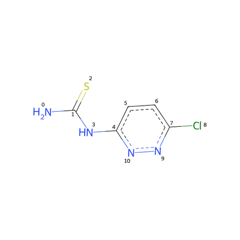 NC(=S)Nc1ccc(Cl)nn1